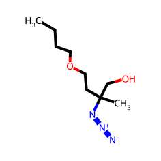 CCCCOCCC(C)(CO)N=[N+]=[N-]